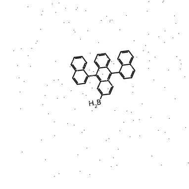 Bc1ccc2c(-c3cccc4ccccc34)c3ccccc3c(-c3cccc4ccccc34)c2c1